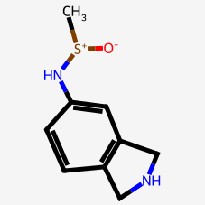 C[S+]([O-])Nc1ccc2c(c1)CNC2